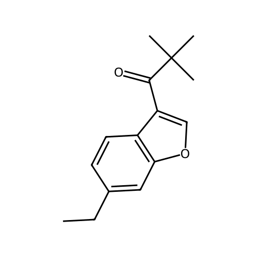 CCc1ccc2c(C(=O)C(C)(C)C)coc2c1